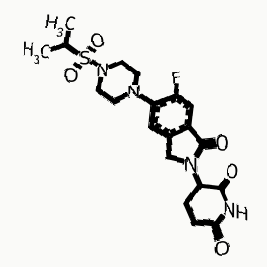 CC(C)S(=O)(=O)N1CCN(c2cc3c(cc2F)C(=O)N(C2CCC(=O)NC2=O)C3)CC1